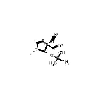 CC(C)(C)OC(=O)[N+]1(C#N)C=C[C@@H](F)C1